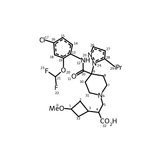 COC1CC(C(CN2CCC(C(=O)Nc3ccc(Cl)cc3OC(F)F)(n3nccc3C(C)C)CC2)C(=O)O)C1